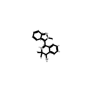 Cn1nc2ccccc2c1C1=NC(C)(C)C(Br)c2ccccc21